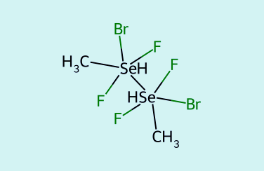 C[SeH](F)(F)(Br)[SeH](C)(F)(F)Br